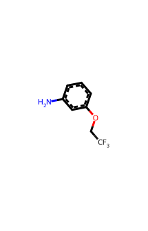 Nc1cccc(OCC(F)(F)F)c1